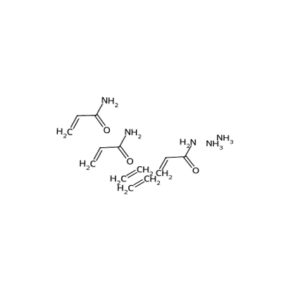 C=C.C=C.C=CC(N)=O.C=CC(N)=O.C=CC(N)=O.N.N